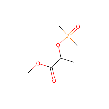 COC(=O)C(C)OP(C)(C)=O